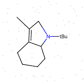 CC1=C2CCCCC2N(C(C)(C)C)C1